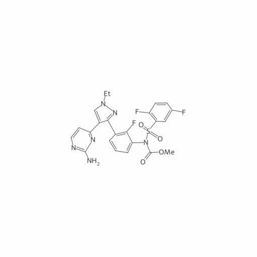 CCn1cc(-c2ccnc(N)n2)c(-c2cccc(N(C(=O)OC)S(=O)(=O)c3cc(F)ccc3F)c2F)n1